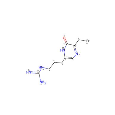 CC(C)Cc1ncc(CCCNC(=N)N)[nH]c1=O